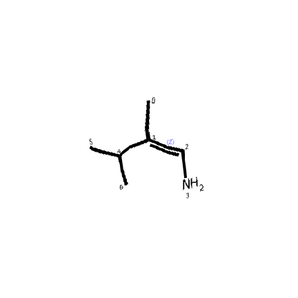 C/C(=C/N)C(C)C